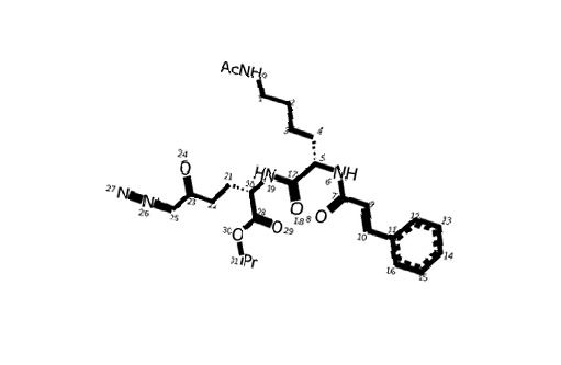 CC(=O)NCCCC[C@H](NC(=O)/C=C/c1ccccc1)C(=O)N[C@@H](CCC(=O)C=[N+]=[N-])C(=O)OC(C)C